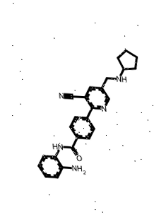 N#Cc1cc(CNC2CCCC2)cnc1-c1ccc(C(=O)Nc2ccccc2N)cc1